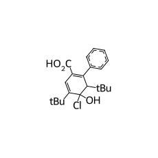 CC(C)(C)C1=CC(C(=O)O)=C(c2ccccc2)C(C(C)(C)C)C1(O)Cl